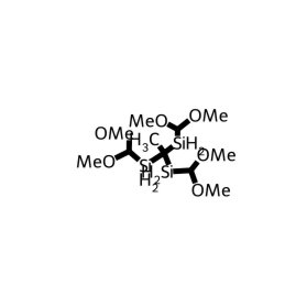 COC(OC)[SiH2]C(C)([SiH2]C(OC)OC)[SiH2]C(OC)OC